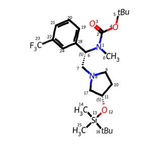 CN(C(=O)OC(C)(C)C)[C@H](CN1CC[C@H](O[Si](C)(C)C(C)(C)C)C1)c1cccc(C(F)(F)F)c1